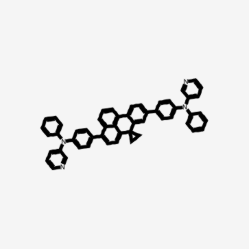 c1ccc(N(c2ccc(-c3ccc4c(c3)C3(CC3)c3ccc(-c5ccc(N(c6ccccc6)c6cccnc6)cc5)c5cccc-4c35)cc2)c2cccnc2)cc1